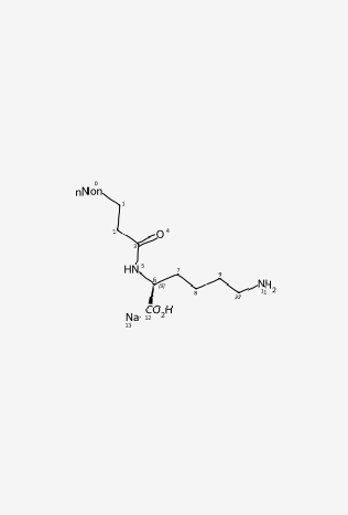 CCCCCCCCCCCC(=O)N[C@@H](CCCCN)C(=O)O.[Na]